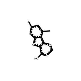 Cc1cc(C)c2c(n1)oc1c(O)ncnc12